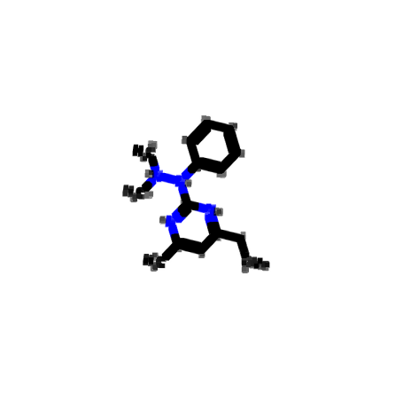 COCc1cc(C)nc(N(c2ccccc2)N(C)C)n1